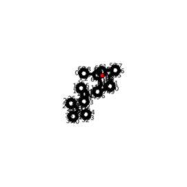 c1ccc(-c2cccc(-n3c4cc(-n5c6ccccc6c6cc([Si](c7ccccc7)(c7ccccc7)c7ccccc7)ccc65)ccc4c4cccc(-n5c6ccccc6c6ccccc65)c43)c2)cc1